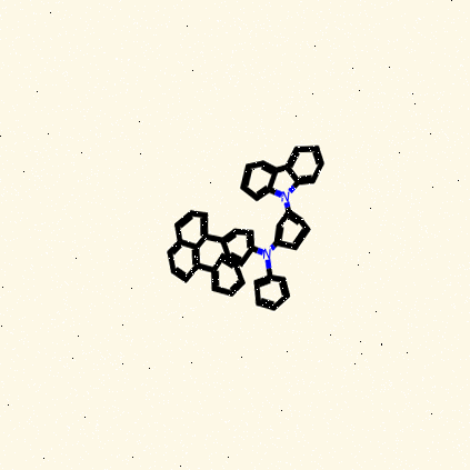 c1ccc(-c2cccc3cccc(-c4ccc(N(c5ccccc5)c5cccc(-n6c7ccccc7c7ccccc76)c5)cc4)c23)cc1